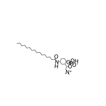 CCCCCCCCCCCCCCCC(=O)NC1CCCC(C(C[N+](C)(C)C)OP(=O)([O-])O)C1